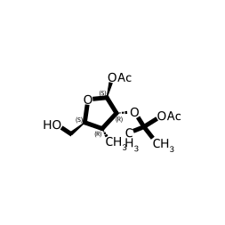 CC(=O)O[C@@H]1O[C@H](CO)[C@@H](C)[C@H]1OC(C)(C)OC(C)=O